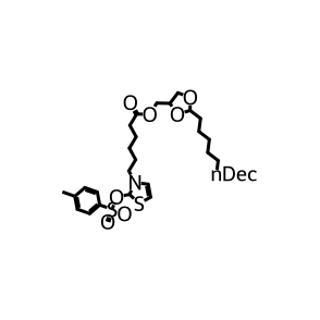 CCCCCCCCCCCCCCCC1OCC(COC(=O)CCCCCN2C=CSC2OS(=O)(=O)c2ccc(C)cc2)O1